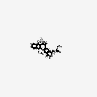 CCOc1cc(-c2cnn(C)c2-c2c(F)cc3ccccc3c2C#N)cc2c(CNC(=O)OC(C)(C)C)n[nH]c(=O)c12